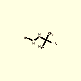 CC(C)(C)NBS